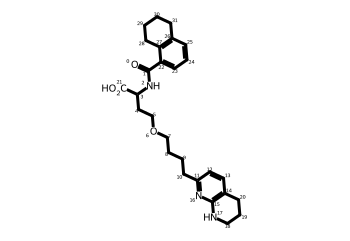 O=C(NC(CCOCCCCc1ccc2c(n1)NCCC2)C(=O)O)c1cccc2c1CCCC2